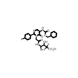 CCOC(=O)C(F)(F)C(O)C(NC(=O)Cn1c(-c2ccc(F)cc2)ncc(NC(=O)OCc2ccccc2)c1=O)C(C)C